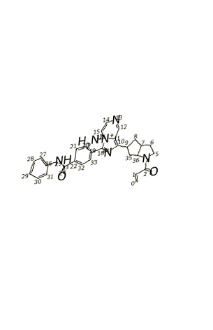 C=CC(=O)N1CCC2CC(C3=C4C=NC=C[N+]4(N)C(c4ccc(C(=O)Nc5ccccc5)cc4)=N3)CC21